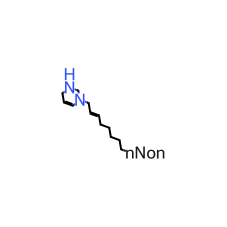 CCCCCCCCCCCCCCC=CCN1C=CCNC1